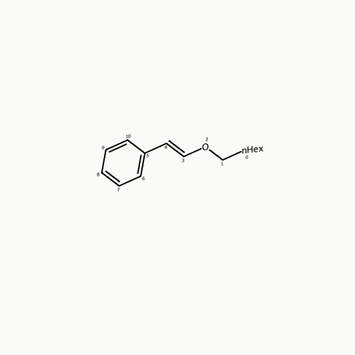 CCCCCCCOC=Cc1ccccc1